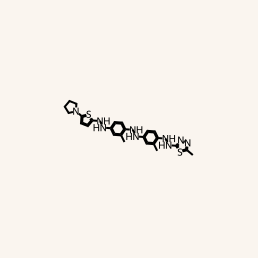 Cc1nnc(NNc2ccc(NNc3ccc(NNc4ccc(N5CCCC5)s4)cc3C)cc2C)s1